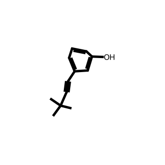 CC(C)(C)C#Cc1cccc(O)c1